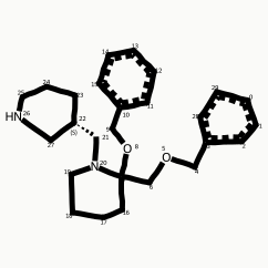 c1ccc(COCC2(OCc3ccccc3)CCCCN2C[C@H]2CCCNC2)cc1